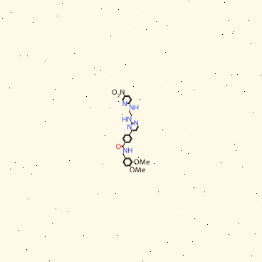 COc1ccc(CNC(=O)c2ccc(-c3ccnc(NCCNc4ccc([N+](=O)[O-])cn4)n3)cc2)cc1OC